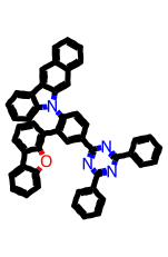 c1ccc(-c2nc(-c3ccccc3)nc(-c3ccc(-n4c5ccccc5c5cc6ccccc6cc54)c(-c4cccc5c4oc4ccccc45)c3)n2)cc1